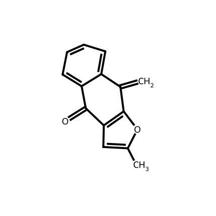 C=C1c2ccccc2C(=O)c2cc(C)oc21